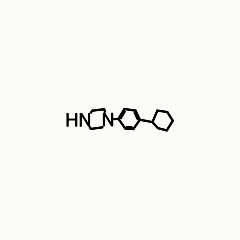 c1cc(N2CCNCC2)ccc1C1CCCCC1